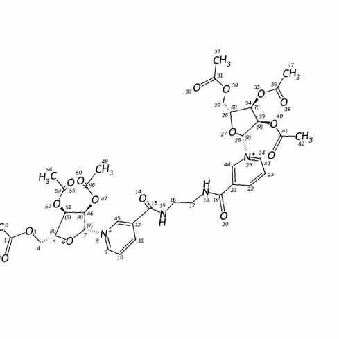 CC(=O)OC[C@H]1O[C@@H]([n+]2cccc(C(=O)NCCNC(=O)c3ccc[n+]([C@@H]4O[C@H](COC(C)=O)[C@@H](OC(C)=O)[C@H]4OC(C)=O)c3)c2)[C@H](OC(C)=O)[C@@H]1OC(C)=O